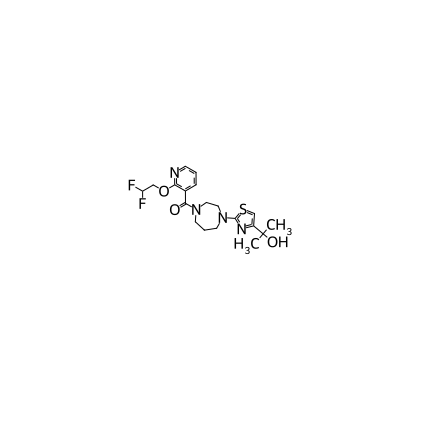 CC(C)(O)c1csc(N2CCCN(C(=O)c3cccnc3OCC(F)F)CC2)n1